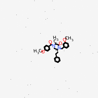 COc1ccc(C(=O)N2C[C@H](CCc3ccccc3)N(Cc3cccc(OC)c3)C(=O)[C@@H]2C)cc1